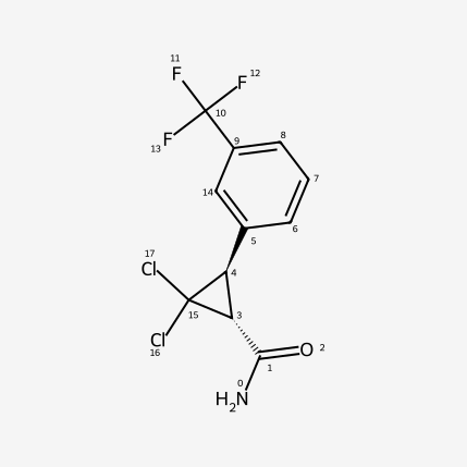 NC(=O)[C@H]1[C@H](c2cccc(C(F)(F)F)c2)C1(Cl)Cl